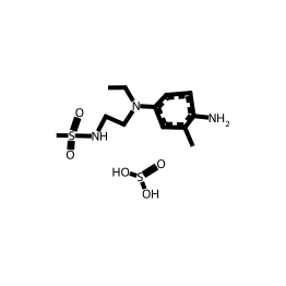 CCN(CCNS(C)(=O)=O)c1ccc(N)c(C)c1.O=S(O)O